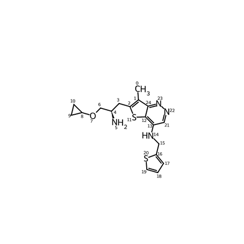 Cc1c(C[C@@H](N)COC2CC2)sc2c(NCc3cccs3)cnnc12